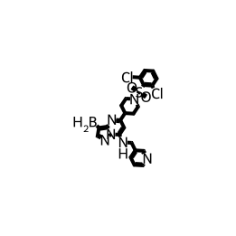 Bc1cnn2c(NCc3cccnc3)cc(C3CCN(S(=O)(=O)c4c(Cl)cccc4Cl)CC3)nc12